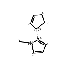 Cn1cccc1[C@@H]1C=CCC1